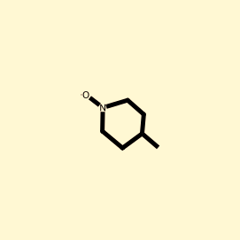 CC1CCN([O])CC1